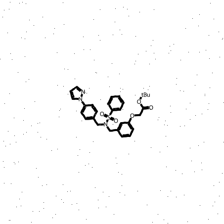 CC(C)(C)OC(=O)COc1cccc(CN(Cc2ccc(-n3cccn3)cc2)S(=O)(=O)c2ccccc2)c1